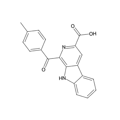 Cc1ccc(C(=O)c2nc(C(=O)O)cc3c2[nH]c2ccccc23)cc1